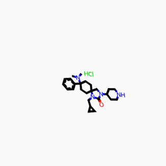 CN(C)C1(c2ccccc2)CCC2(CC1)CN(C1CCNCC1)C(=O)N2CC1CC1.Cl